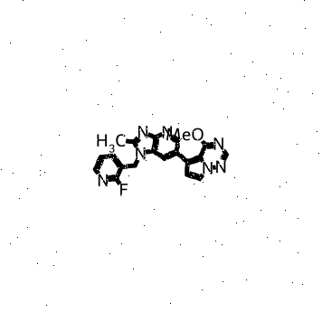 COc1ncnn2ccc(-c3cnc4nc(C)n(Cc5cccnc5F)c4c3)c12